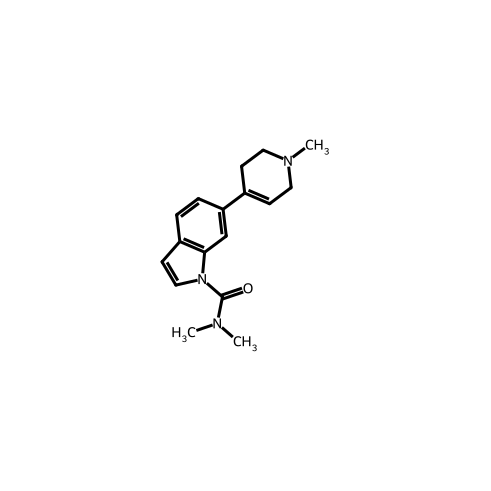 CN1CC=C(c2ccc3ccn(C(=O)N(C)C)c3c2)CC1